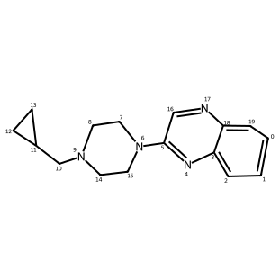 c1ccc2nc(N3CCN(CC4CC4)CC3)cnc2c1